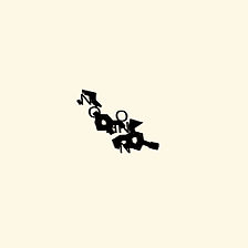 C#Cc1cc(C2(NC(=O)c3cc(OCC4CCN4C)ccc3C)CC2)c2cccnc2c1